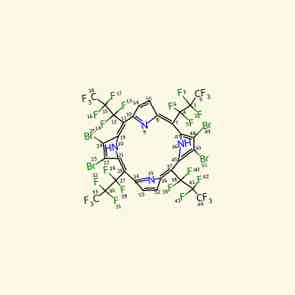 FC(F)(F)C(F)(F)C(F)(F)c1c2nc(c(C(F)(F)C(F)(F)C(F)(F)F)c3[nH]c(c(Br)c3Br)c(C(F)(F)C(F)(F)C(F)(F)F)c3nc(c(C(F)(F)C(F)(F)C(F)(F)F)c4[nH]c1c(Br)c4Br)C=C3)C=C2